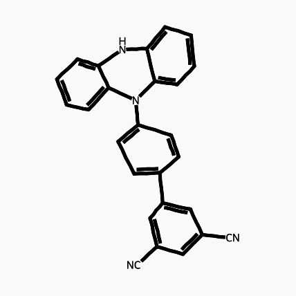 N#Cc1cc(C#N)cc(-c2ccc(N3c4ccccc4Nc4ccccc43)cc2)c1